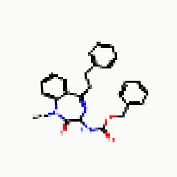 CCCN1C(=O)C(NC(=O)OCc2ccccc2)N=C(CCc2ccccc2)c2ccccc21